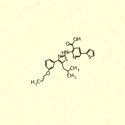 CCCOc1cccc(-c2nc(Nc3ncc(-c4cccs4)cc3C(=O)O)sc2CC(C)C)c1